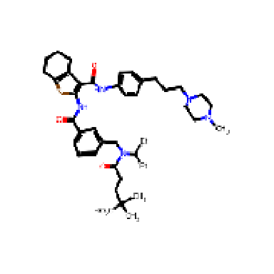 CCC(CC)N(Cc1cccc(C(=O)Nc2sc3c(c2C(=O)Nc2ccc(CCCN4CCN(C)CC4)cc2)CCCC3)c1)C(=O)CCC(C)(C)C(=O)O